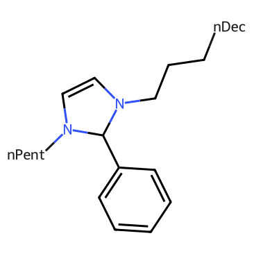 CCCCCCCCCCCCCN1C=CN(CCCCC)C1c1ccccc1